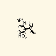 C#C/C(Cl)=C(\C=C(/C)[N+](=O)[O-])C(=O)NCCC